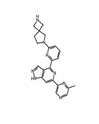 Cc1cncc(-c2cc3[nH]ncc3c(-c3cccc(N4CCC5(CNC5)C4)n3)n2)n1